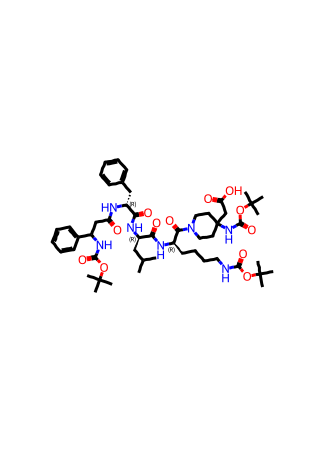 CC(C)C[C@@H](NC(=O)[C@@H](Cc1ccccc1)NC(=O)CC(NC(=O)OC(C)(C)C)c1ccccc1)C(=O)N[C@H](CCCCNC(=O)OC(C)(C)C)C(=O)N1CCC(CC(=O)O)(NC(=O)OC(C)(C)C)CC1